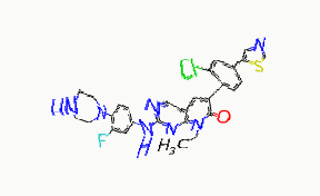 CCn1c(=O)c(-c2ccc(-c3cncs3)cc2Cl)cc2cnc(Nc3ccc(N4CCNCC4)c(F)c3)nc21